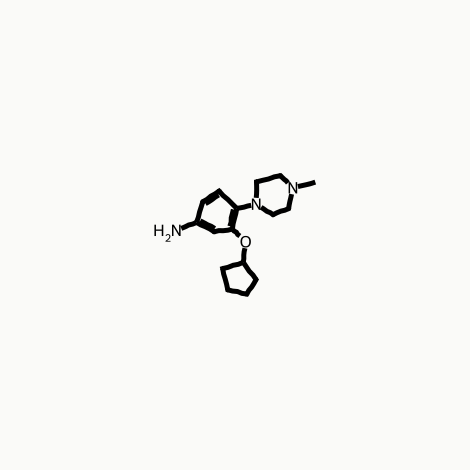 CN1CCN(c2ccc(N)cc2OC2CCCC2)CC1